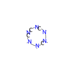 CN1CCN(C)CCN(C)CCN(C)CCN(C)CCN(C)CC1